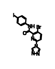 O=C(Nc1ccc(I)cc1)c1nc(-n2cnnc2)ccc1Br